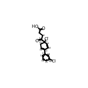 O=C(O)CCC(=O)C1(Cl)C=CC(c2cccc(Cl)c2)=CC1